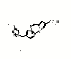 Cc1cnn(Cc2ccc3c(c2)N=Cc2cc(C(=O)O)cn2C3)c1